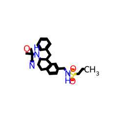 CCCS(=O)(=O)NCc1ccc2c(c1)C(Cc1ccccc1)C(NC1(C#N)COC1)CC2